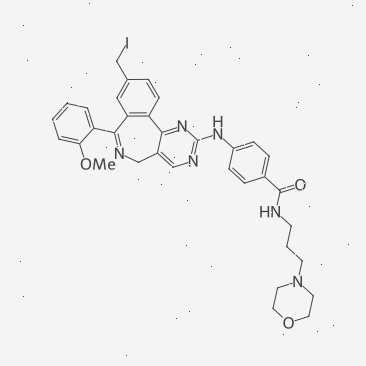 COc1ccccc1C1=NCc2cnc(Nc3ccc(C(=O)NCCCN4CCOCC4)cc3)nc2-c2ccc(CI)cc21